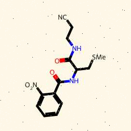 CSCC(NC(=O)c1ccccc1[N+](=O)[O-])C(=O)NCCC#N